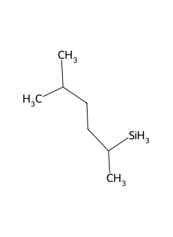 CC(C)CCC(C)[SiH3]